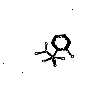 O=S(Cl)(Cl)(c1ccccc1Cl)N(Cl)Cl